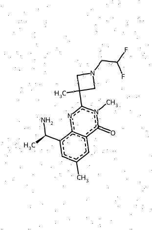 Cc1cc([C@@H](C)N)c2nc(C3(C)CN(CC(F)F)C3)n(C)c(=O)c2c1